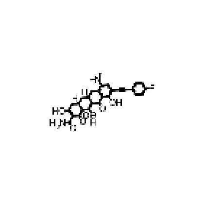 CN(C)c1cc(C#Cc2ccc(F)cc2)c(O)c2c1C[C@H]1C[C@H]3CC(O)=C(C(N)=O)C(=O)[C@@]3(O)C(O)=C1C2=O